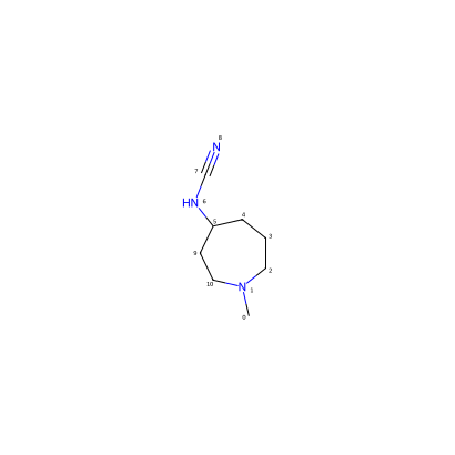 CN1CCCC(NC#N)CC1